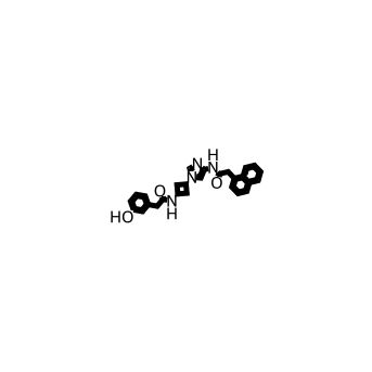 O=C(Cc1cccc2ccccc12)Nc1cn([C@H]2C[C@@H](NC(=O)Cc3cccc(O)c3)C2)cn1